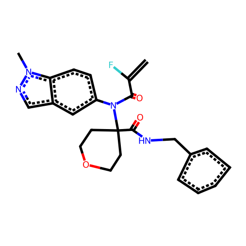 C=C(F)C(=O)N(c1ccc2c(cnn2C)c1)C1(C(=O)NCc2ccccc2)CCOCC1